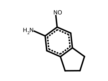 Nc1cc2c(cc1N=O)CCC2